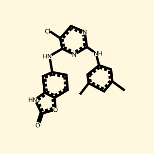 Cc1cc(C)cc(Nc2ncc(Cl)c(Nc3ccc4oc(=O)[nH]c4c3)n2)c1